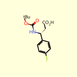 CC(C)(C)OC(=O)N[C@H](CC(=O)O)c1ccc(F)cc1